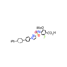 COc1cc(C(=O)O)c(F)cc1NS(=O)(=O)c1ccn(-c2ccc(C3CCC(C(C)C)CC3)cc2)n1